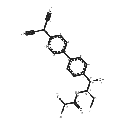 N#CC(C#N)c1ccc(-c2ccc([C@@H](O)[C@@H](CF)NC(=O)C(F)F)cc2)cn1